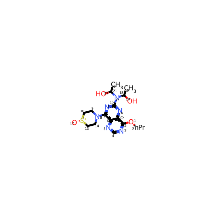 CCCOc1ncnc2c(N3CC[S+]([O-])CC3)nc(N(C(C)O)C(C)O)nc12